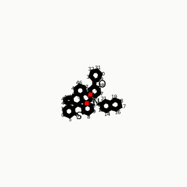 c1ccc2c(c1)Sc1ccc(N(c3ccc4ccccc4c3)c3ccc4c(c3)oc3ccccc34)cc1C21c2ccccc2-c2cccc3cccc1c23